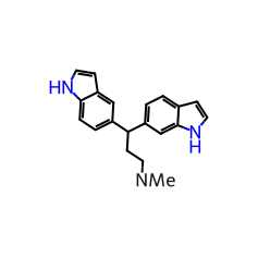 CNCCC(c1ccc2[nH]ccc2c1)c1ccc2cc[nH]c2c1